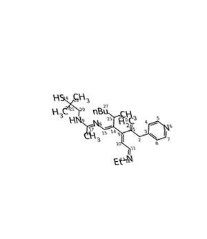 C=C(Cc1ccncc1)C(=C\C=N/CC)/C(=C/N=C(\C)NCC(C)(C)S)C(C)CCCC